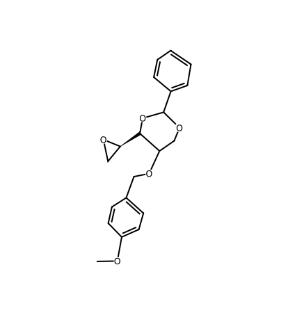 COc1ccc(COC2COC(c3ccccc3)OC2[C@H]2CO2)cc1